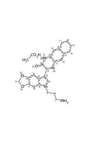 CC(=O)O.NCCCn1cc(-c2nc3cc4ccccc4cc3[nH]c2=O)c2cc3c(cc21)OCO3